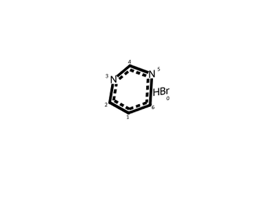 Br.c1cncnc1